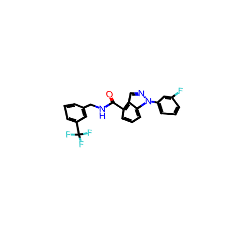 O=C(NCc1cccc(C(F)(F)F)c1)c1cccc2c1cnn2-c1cccc(F)c1